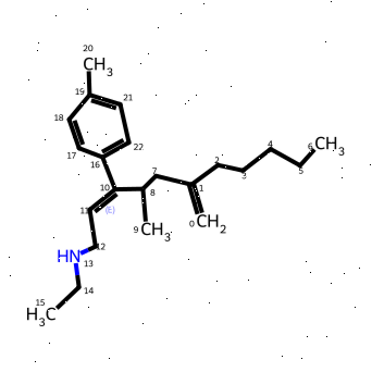 C=C(CCCCC)CC(C)/C(=C\CNCC)c1ccc(C)cc1